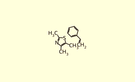 C=Cc1ccccc1.Cc1nc(C)c(C)s1